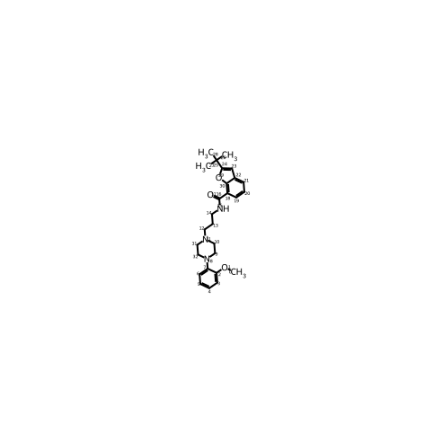 COc1ccccc1N1CCN(CCCNC(=O)c2cccc3cc(C(C)(C)C)oc23)CC1